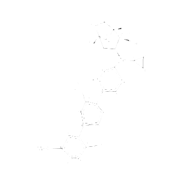 COc1cc(-c2ccc(-c3cnc(N(C4CC4)[C@H]4C[C@]5(C)CC[C@@](C)(N5)[C@H]4F)nn3)c(O)c2)c(F)cn1